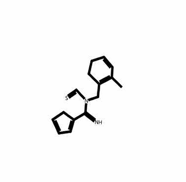 CC1=C(CN(C=S)C(=N)C2=CC=CC2)CCC=C1